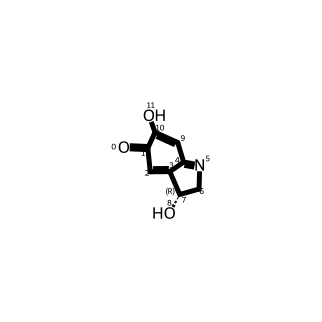 O=C1C=C2C(=NC[C@@H]2O)C=C1O